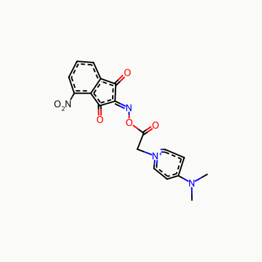 CN(C)c1cc[n+](CC(=O)ON=c2c(=O)c3cccc([N+](=O)[O-])c3c2=O)cc1